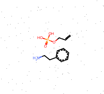 C=CCOP(=O)(O)O.NCCc1ccccc1